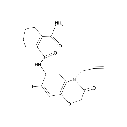 C#CCN1C(=O)COc2cc(I)c(NC(=O)C3=C(C(N)=O)CCCC3)cc21